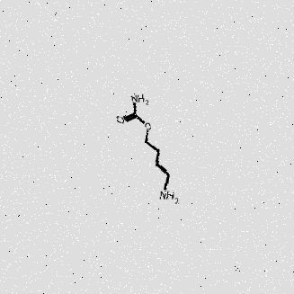 NCCCCOC(N)=O